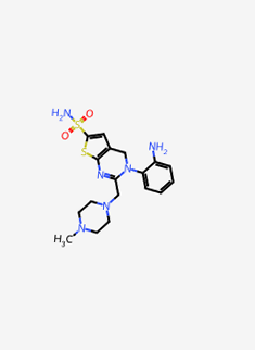 CN1CCN(CC2=Nc3sc(S(N)(=O)=O)cc3CN2c2ccccc2N)CC1